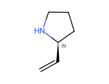 C=C[C@@H]1CCCN1